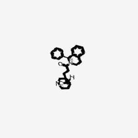 O=C(CC[C@H]1CN2CCC1CC2)N1CCc2ccccc2[C@@H]1c1ccccc1